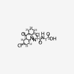 O=C(O)CNC(=O)C(Cl)N=Nc1ccc(Cl)cc1C(=O)c1ccccc1